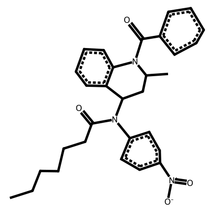 CCCCCCC(=O)N(c1ccc([N+](=O)[O-])cc1)C1CC(C)N(C(=O)c2ccccc2)c2ccccc21